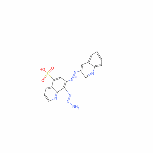 NN=Nc1c(/N=N/c2cnc3ccccc3c2)cc(S(=O)(=O)O)c2cccnc12